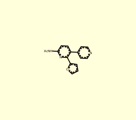 CC(=O)Nc1ccc(-c2ccncc2)c(-c2ccco2)n1